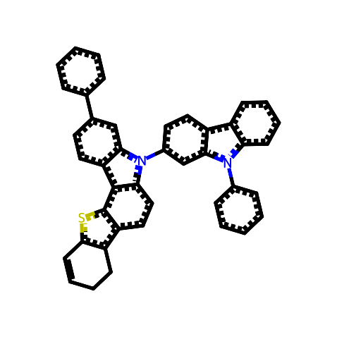 C1=Cc2sc3c(ccc4c3c3ccc(-c5ccccc5)cc3n4-c3ccc4c5ccccc5n(-c5ccccc5)c4c3)c2CC1